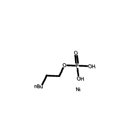 CCCCCCOP(=O)(O)O.[Ni]